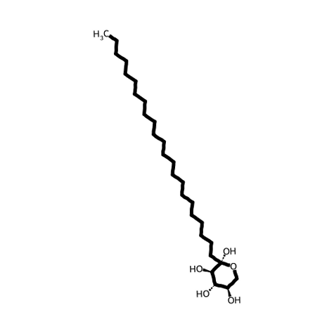 CCCCCCCCCCCCCCCCCCCCCCC[C@@]1(O)OC[C@@H](O)[C@H](O)[C@H]1O